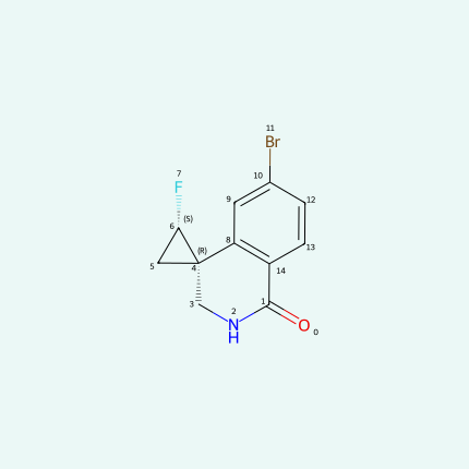 O=C1NC[C@@]2(C[C@@H]2F)c2cc(Br)ccc21